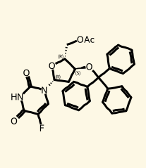 CC(=O)OC[C@H]1O[C@@H](n2cc(F)c(=O)[nH]c2=O)C[C@@H]1OC(c1ccccc1)(c1ccccc1)c1ccccc1